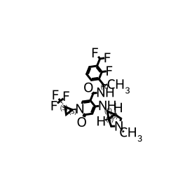 C[C@@H](NC(=O)c1cn([C@H]2C[C@@H]2C(F)(F)F)c(=O)cc1N[C@H]1[C@@H]2CN(C)C[C@@H]21)c1cccc(C(F)F)c1F